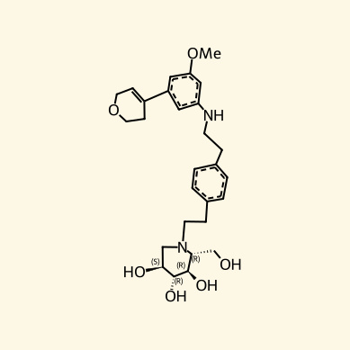 COc1cc(NCCc2ccc(CCN3C[C@H](O)[C@@H](O)[C@H](O)[C@H]3CO)cc2)cc(C2=CCOCC2)c1